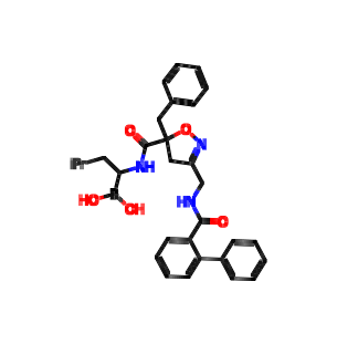 CC(C)CC(NC(=O)C1(Cc2ccccc2)CC(CNC(=O)c2ccccc2-c2ccccc2)=NO1)B(O)O